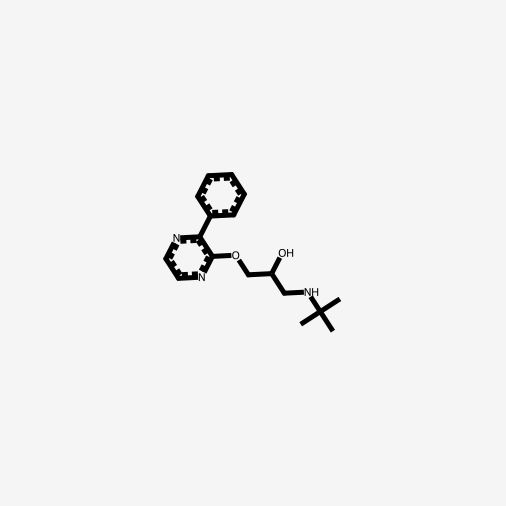 CC(C)(C)NCC(O)COc1nccnc1-c1ccccc1